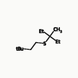 CCC(C)(CC)SCCC(C)(C)C